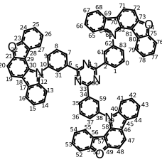 c1cc(-c2nc(-c3cccc(-n4c5ccccc5c5ccc6oc7ccccc7c6c54)c3)nc(-c3cccc(-n4c5ccccc5c5ccc6oc7ccccc7c6c54)c3)n2)cc(-n2c3ccccc3c3ccc4oc5ccccc5c4c32)c1